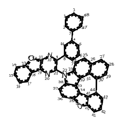 c1ccc(-c2cccc(-c3nc4oc5ccccc5c4nc3-n3c4ccc5cccc6c5c4c4c5c(ccc43)oc3cccc-6c35)c2)cc1